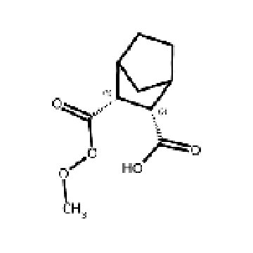 COOC(=O)[C@@H]1C2CCC(C2)[C@@H]1C(=O)O